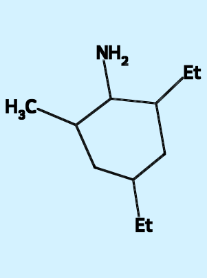 CCC1CC(C)C(N)C(CC)C1